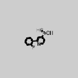 OB(O)c1ccnc(-c2ccccc2F)c1